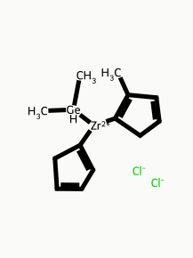 CC1=[C]([Zr+2]([C]2=CC=CC2)[GeH]([CH3])[CH3])CC=C1.[Cl-].[Cl-]